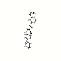 COc1cccc(/C=C/c2ccc3cc(-c4cccnc4)sc3n2)c1